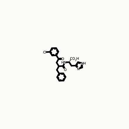 O=C(CC(Cc1ccccc1)C(=O)N[C@@H](Cc1c[nH]cn1)C(=O)O)c1cccc(Cl)c1